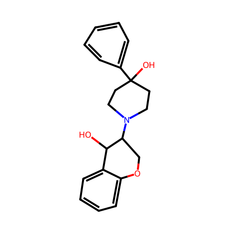 OC1c2ccccc2OCC1N1CCC(O)(c2ccccc2)CC1